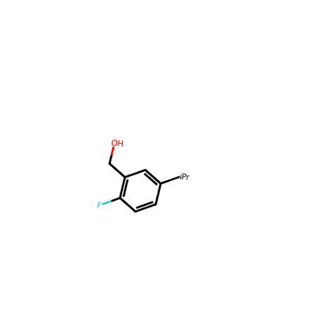 CC(C)c1ccc(F)c(CO)c1